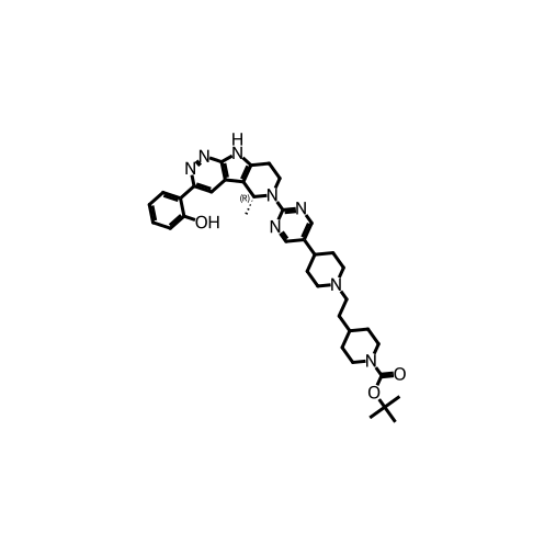 C[C@@H]1c2c([nH]c3nnc(-c4ccccc4O)cc23)CCN1c1ncc(C2CCN(CCC3CCN(C(=O)OC(C)(C)C)CC3)CC2)cn1